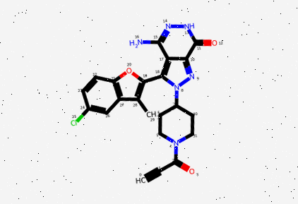 C#CC(=O)N1CCC(n2nc3c(=O)[nH]nc(N)c3c2-c2oc3ccc(Cl)cc3c2C)CC1